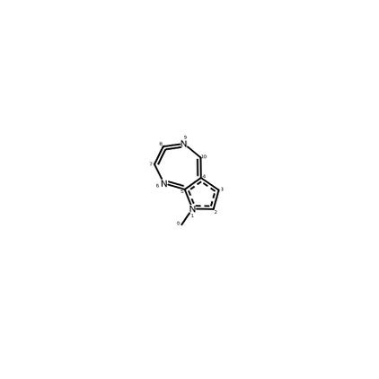 Cn1ccc2c1=NC=C=NC=2